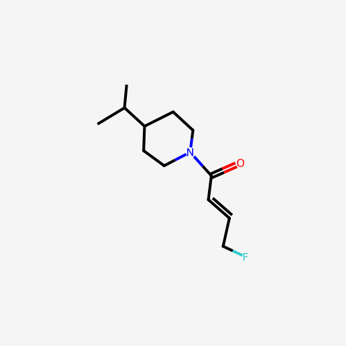 CC(C)C1CCN(C(=O)/C=C/CF)CC1